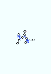 c1ccc(-c2ccc(N(c3ccc4c(c3)n3c5ccccc5nc3n4-c3ccc(-c4ccccc4)cc3)c3ccc4c(c3)n3c5ccccc5nc3n4-c3ccc(-c4ccccc4)cc3)cc2)cc1